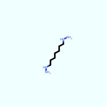 NNCCCCCCCNN